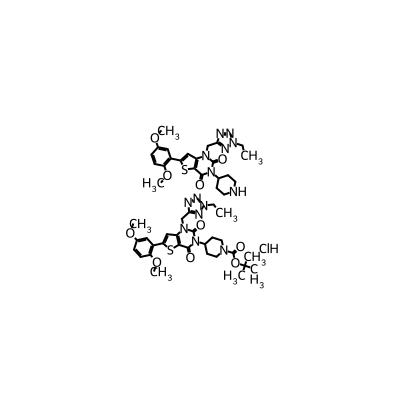 CCn1nnc(Cn2c(=O)n(C3CCN(C(=O)OC(C)(C)C)CC3)c(=O)c3sc(-c4cc(OC)ccc4OC)cc32)n1.CCn1nnc(Cn2c(=O)n(C3CCNCC3)c(=O)c3sc(-c4cc(OC)ccc4OC)cc32)n1.Cl